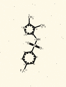 Cc1noc(NS(=O)(=O)c2ccc(C(F)(F)F)cc2)c1C